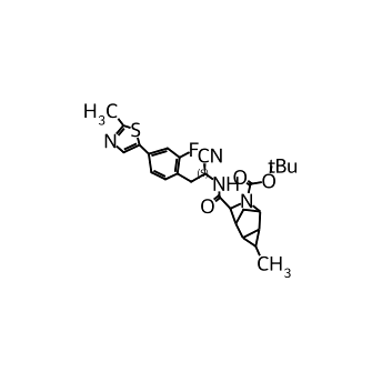 Cc1ncc(-c2ccc(C[C@@H](C#N)NC(=O)C3C4CC(C5C(C)C45)N3C(=O)OC(C)(C)C)c(F)c2)s1